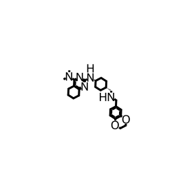 CN(C)c1nc(N[C@H]2CC[C@@H](CNCc3ccc4c(c3)OCCO4)CC2)nc2c1CCCC2